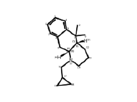 CC1(C)c2ccccc2C[C@@H]2[C@H]1CCCN2CC1CC1